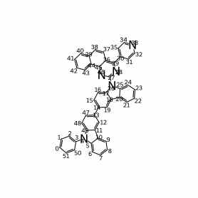 c1ccc(-n2c3ccccc3c3cc(-c4ccc5c(c4)c4ccccc4n5-c4nc(-c5ccncc5)c5ccc6ccccc6c5n4)ccc32)cc1